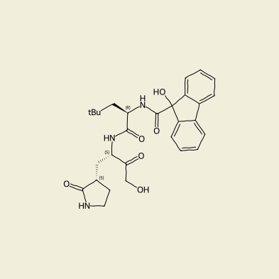 CC(C)(C)C[C@@H](NC(=O)C1(O)c2ccccc2-c2ccccc21)C(=O)N[C@@H](C[C@@H]1CCNC1=O)C(=O)CO